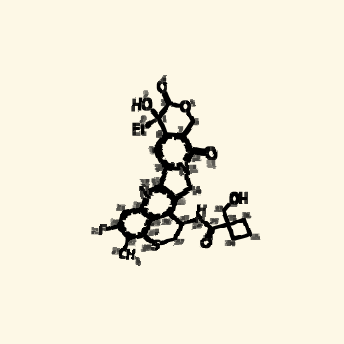 CC[C@@]1(O)C(=O)OCc2c1cc1n(c2=O)Cc2c-1nc1cc(F)c(C)c3c1c2[C@@H](NC(=O)C1(CO)CCC1)CS3